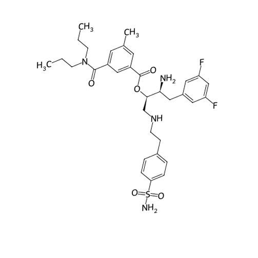 CCCN(CCC)C(=O)c1cc(C)cc(C(=O)O[C@H](CNCCc2ccc(S(N)(=O)=O)cc2)[C@@H](N)Cc2cc(F)cc(F)c2)c1